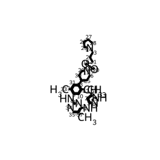 Cc1cc(Nc2nc(Nc3cc(C)c(C4CCN(S(=O)(=O)CCCN5CCCC5)CC4)cc3C)ncc2C)n[nH]1